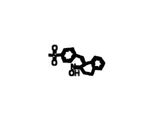 CS(=O)(=O)c1ccc(C=C2C(=NO)CCc3ccccc32)cc1